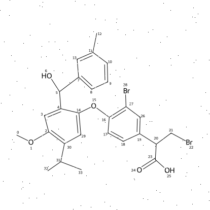 COc1cc(C(O)c2cccc(C)c2)c(Oc2ccc(C(CBr)C(=O)O)cc2Br)cc1C(C)C